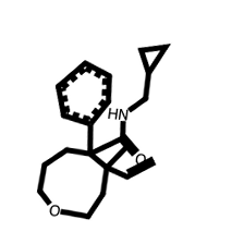 C=CC1(C)CCOCCCC1(C(=O)NCC1CC1)c1ccccc1